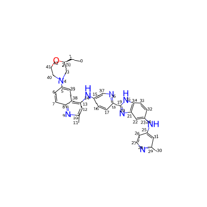 CC[C@H]1CN(c2ccc3nc(C)cc(Nc4ccc(-c5nc6cc(Nc7ccnc(C)c7)ccc6[nH]5)nc4)c3c2)CCO1